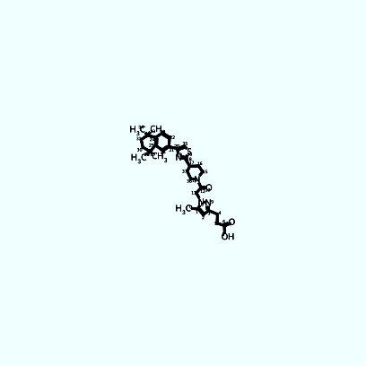 Cc1cc(CCC(=O)O)nn1CC(=O)N1CCC(c2nc(-c3ccc4c(c3)C(C)(C)CCC4(C)C)cs2)CC1